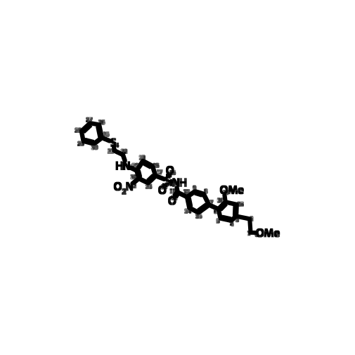 COCCc1ccc(-c2ccc(C(=O)NS(=O)(=O)c3ccc(NCCSc4ccccc4)c([N+](=O)[O-])c3)cc2)c(OC)c1